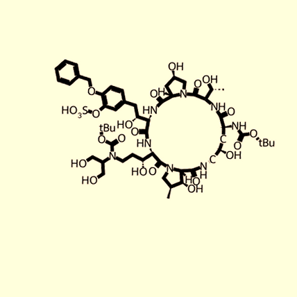 C[C@@H](O)C1NC(=O)[C@@H](NC(=O)OC(C)(C)C)C[C@@H](O)CNC(=O)[C@@H]2[C@@H](O)[C@@H](C)CN2C(=O)[C@H]([C@H](O)CCN(C(=O)OC(C)(C)C)C(CO)CO)NC(=O)[C@H]([C@H](O)Cc2ccc(OCc3ccccc3)c(OS(=O)(=O)O)c2)NC(=O)[C@@H]2C[C@@H](O)CN2C1=O